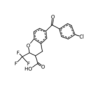 O=C(c1ccc(Cl)cc1)c1ccc2c(c1)CC(C(=O)O)C(C(F)(F)F)O2